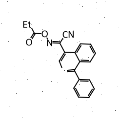 C=C(c1ccccc1)c1ccccc1C(=C\C)/C(C#N)=N/OC(=O)CC